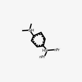 CCC[SiH](CCC)c1ccc([SiH](C)C)cc1